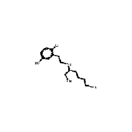 NCCCC[C@@H](CO)NCCc1cc(O)ccc1O